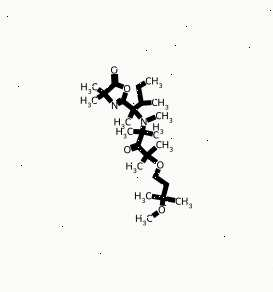 CCC(C)C(C)(C1=NC(C)(C)C(=O)O1)N(C)C(C)(C)C(=O)C(C)(C)OCCC(C)(C)OC